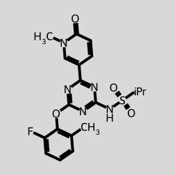 Cc1cccc(F)c1Oc1nc(NS(=O)(=O)C(C)C)nc(-c2ccc(=O)n(C)c2)n1